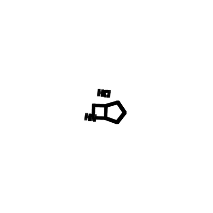 C1CC2CNC2C1.Cl